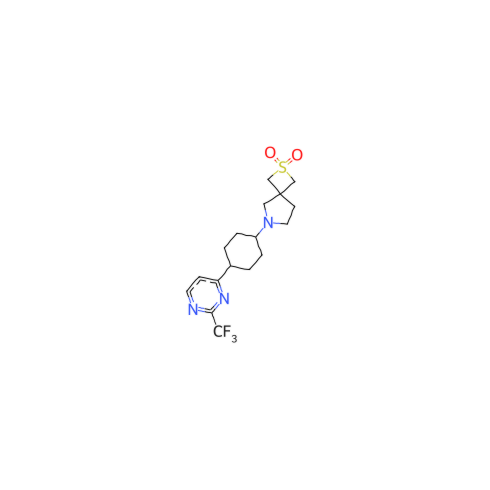 O=S1(=O)CC2(CCN(C3CCC(c4ccnc(C(F)(F)F)n4)CC3)C2)C1